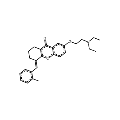 CCN(CC)CCOc1ccc2oc3c(c(=O)c2c1)CCCC3=Cc1ccccc1C